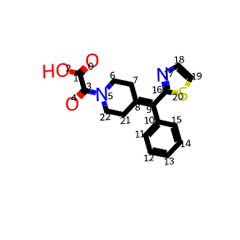 O=C(O)C(=O)N1CCC(=C(c2ccccc2)c2nccs2)CC1